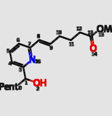 CCCCCC(O)c1cccc(C=CCCCC(=O)OC)n1